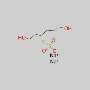 O=S(=O)([O-])[S-].OCCCCCCO.[Na+].[Na+]